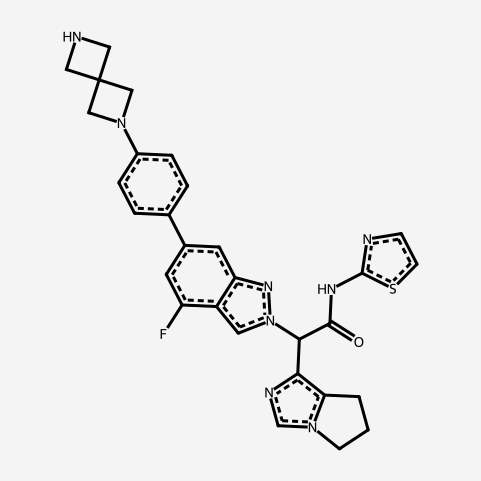 O=C(Nc1nccs1)C(c1ncn2c1CCC2)n1cc2c(F)cc(-c3ccc(N4CC5(CNC5)C4)cc3)cc2n1